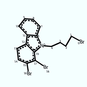 BrCCCCn1c2ccccc2c2ccc(Br)c(Br)c21